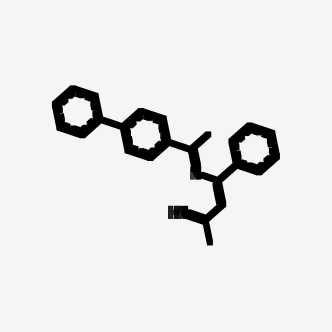 CC(=N)/C=C(\N=C(/C)c1ccc(-c2ccccc2)cc1)c1ccccc1